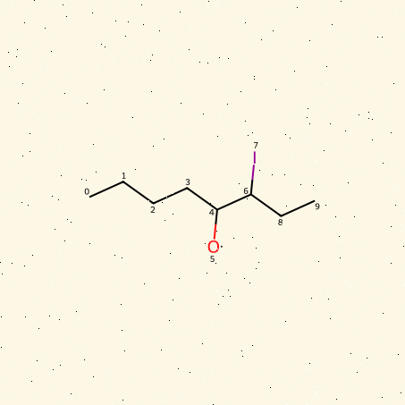 CCCCC([O])C(I)CC